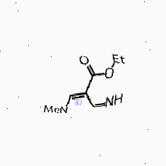 CCOC(=O)/C(C=N)=C/NC